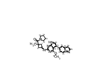 COc1nc(N=C2CC(C)(C(=O)N3CCCC3)C2)nc2[nH]cc(-c3ccn4nccc4c3)c12